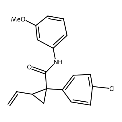 C=CC1CC1(C(=O)Nc1cccc(OC)c1)c1ccc(Cl)cc1